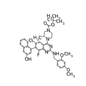 COc1ccc(CNc2nc(N3CCN(C(=O)OC(C)(C)C)CC3C)c3cc(Cl)c(-c4cc(O)cc5ccccc45)c(F)c3n2)c(OC)c1